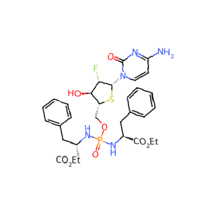 CCOC(=O)[C@H](Cc1ccccc1)NP(=O)(N[C@@H](Cc1ccccc1)C(=O)OCC)OC[C@H]1S[C@@H](n2ccc(N)nc2=O)[C@@H](F)[C@@H]1O